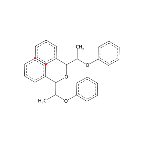 CC(Oc1ccccc1)C(OC(c1ccccc1)C(C)Oc1ccccc1)c1ccccc1